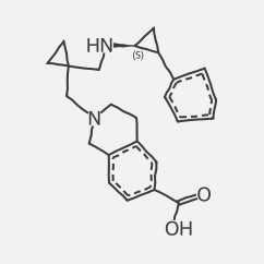 O=C(O)c1ccc2c(c1)CCN(CC1(CN[C@H]3CC3c3ccccc3)CC1)C2